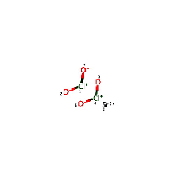 [O-][Cl+][O-].[O-][Cl+][O-].[Sr+2]